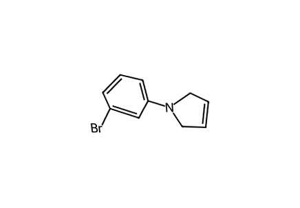 Brc1cccc(N2CC=CC2)c1